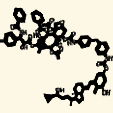 C=C1/C(=C\C=C2/CCC[C@@]3(C)C2CCC3[C@@H](C)/C=C/C(O)C2CC2)C[C@@H](OC(=O)Nc2ccc(Cc3ccc(NC(=O)OC4CC5OCC5(OC(C)=O)C5C(OC(=O)c6ccccc6)C6(O)CC(OC(=O)C(O)C(NC(=O)c7ccccc7)c7ccccc7)C(C)=C(C(OC(C)=O)C(=O)C45C)C6(C)C)cc3)cc2)C[C@@H]1O